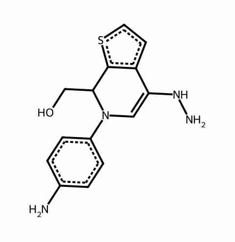 NNC1=CN(c2ccc(N)cc2)C(CO)c2sccc21